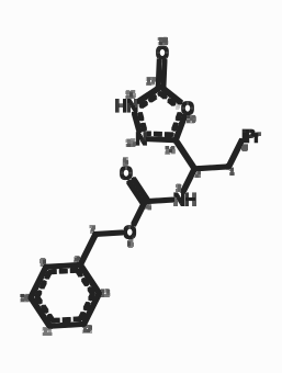 CC(C)CC(NC(=O)OCc1ccccc1)c1n[nH]c(=O)o1